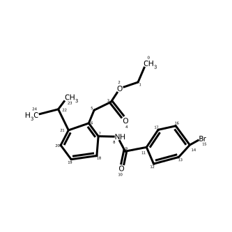 CCOC(=O)Cc1c(NC(=O)c2ccc(Br)cc2)cccc1C(C)C